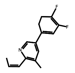 C/C=C\c1ncc(C2=CC(F)=C(F)CC2)cc1C